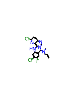 C=CCN(C)Cc1cc(F)c(Cl)cc1Nc1ncnc2ccc(Cl)nc12